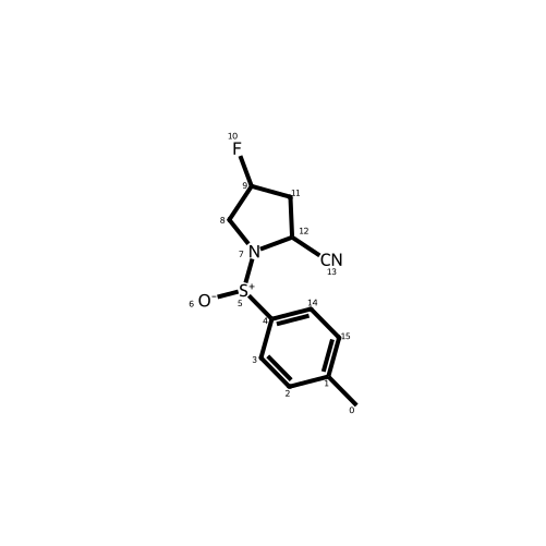 Cc1ccc([S+]([O-])N2CC(F)CC2C#N)cc1